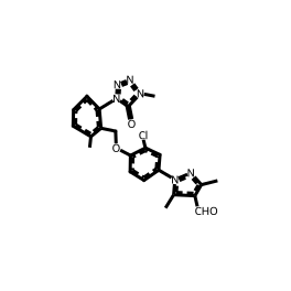 Cc1cccc(-n2nnn(C)c2=O)c1COc1ccc(-n2nc(C)c(C=O)c2C)cc1Cl